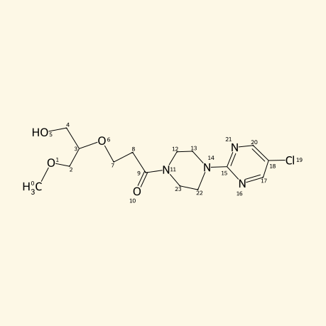 COCC(CO)OCCC(=O)N1CCN(c2ncc(Cl)cn2)CC1